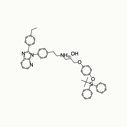 CCc1ccc(-c2nc3cccnc3n2-c2ccc(CCNC[C@H](O)COc3ccc(O[Si](c4ccccc4)(c4ccccc4)C(C)(C)C)cc3)cc2)cc1